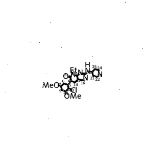 CCn1c(=O)c(-c2cc(OC)cc(OC)c2Cl)cc2cnc(Nc3ccncc3)nc21